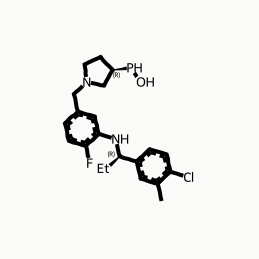 CC[C@@H](Nc1cc(CN2CC[C@@H](PO)C2)ccc1F)c1ccc(Cl)c(C)c1